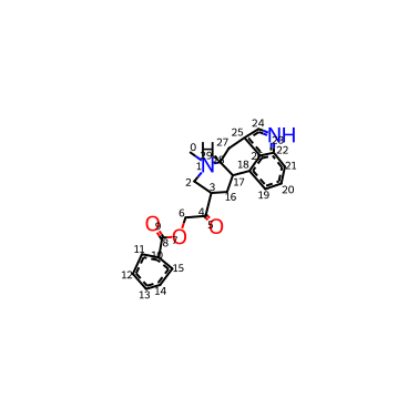 CN1CC(C(=O)COC(=O)c2ccccc2)CC2c3cccc4[nH]cc(c34)C[C@H]21